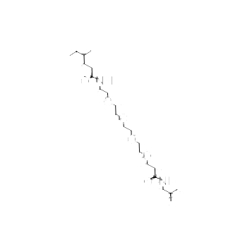 CCC(C)CCC(=O)NCCOCCOCCOCCOCCC(=O)NCC(C)C